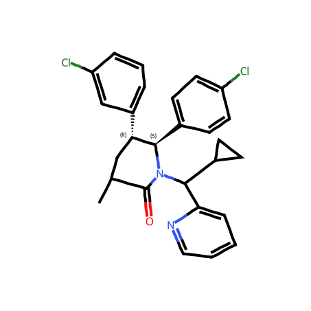 CC1C[C@H](c2cccc(Cl)c2)[C@@H](c2ccc(Cl)cc2)N(C(c2ccccn2)C2CC2)C1=O